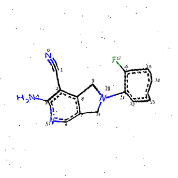 N#Cc1c(N)ncc2c1CN(c1ccccc1F)C2